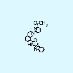 CC(=O)c1cccc(N2CCc3cccc(C(=O)Nc4nc5ccccc5s4)c3C2)n1